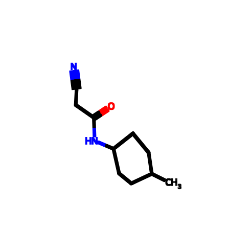 CC1CCC(NC(=O)CC#N)CC1